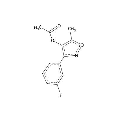 CC(=O)Oc1c(-c2cccc(F)c2)noc1C